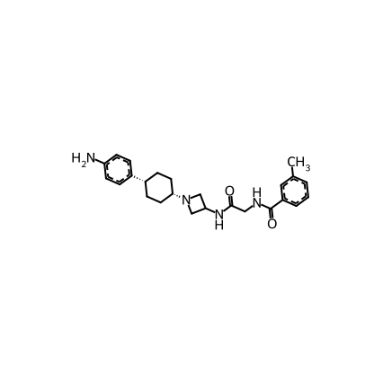 Cc1cccc(C(=O)NCC(=O)NC2CN([C@H]3CC[C@@H](c4ccc(N)cc4)CC3)C2)c1